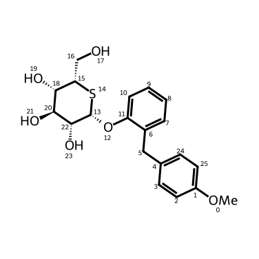 COc1ccc(Cc2ccccc2O[C@H]2S[C@@H](CO)[C@@H](O)[C@H](O)[C@H]2O)cc1